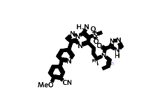 C/C=C\N(C(=O)c1nnc[nH]1)[C@H](C)CCc1nc2c(-c3ccc(-c4ccc(OC)c(C#N)c4)nc3)cnn2c(N)c1S(C)(=O)=O